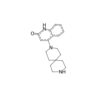 O=c1cc(N2CCC3(CCNCC3)CC2)c2ccccc2[nH]1